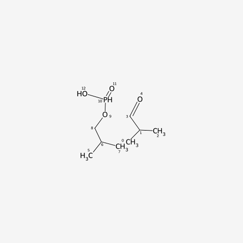 CC(C)C=O.CC(C)CO[PH](=O)O